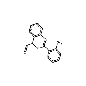 Cc1ccccc1C1=Nc2ccccc2C(C=O)O1